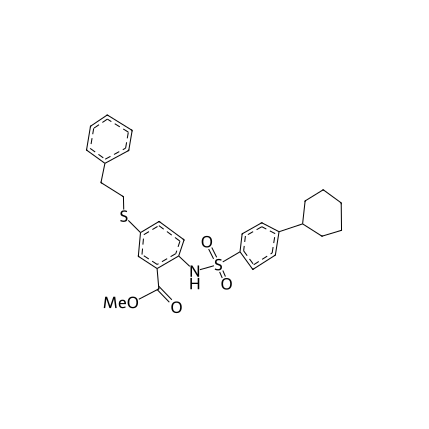 COC(=O)c1cc(SCCc2ccccc2)ccc1NS(=O)(=O)c1ccc(C2CCCCC2)cc1